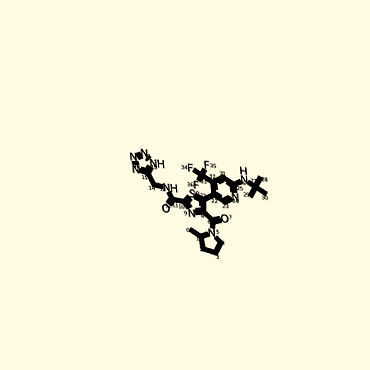 CC1CCCN1C(=O)c1nc(C(=O)NCc2nnn[nH]2)sc1-c1cnc(NC(C)(C)C)cc1C(F)(F)F